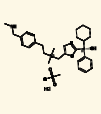 CNCc1ccc(CC[N+](C)(C)Cc2cnc([C@](O)(c3ccccc3)C3CCCCC3)o2)cc1.CS(=O)(=O)[O-].Cl